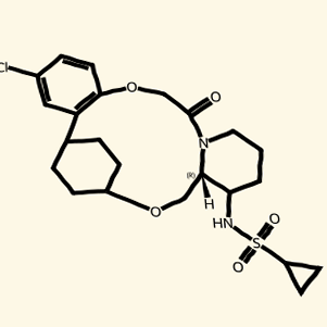 O=C1COc2ccc(Cl)cc2C2CCC(CC2)OC[C@H]2C(NS(=O)(=O)C3CC3)CCCN12